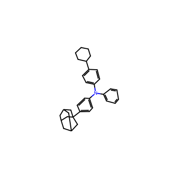 c1ccc(N(c2ccc(C3CCCCC3)cc2)c2ccc(C34CC5CC(CC(C5)C3)C4)cc2)cc1